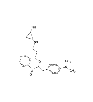 CN(C)c1ccc(CC(OCCCNC2CC2O)C(=O)c2ccccc2)cc1